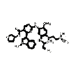 C=CC(=O)Nc1cc(Nc2ncc(C(=O)OC3CCOC3)c(-c3cn(C)c4ccccc34)n2)c(OC)cc1N(C)CCN(C)C